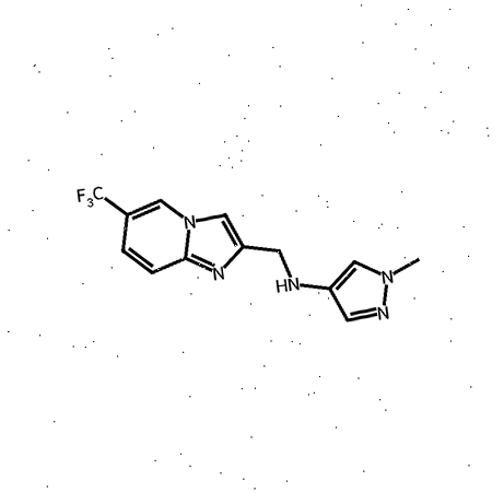 Cn1cc(NCc2cn3cc(C(F)(F)F)ccc3n2)cn1